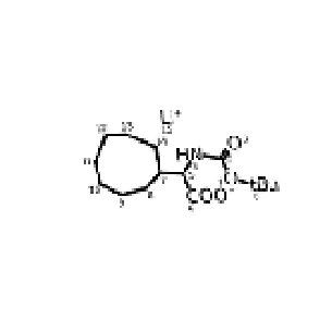 CC(C)(C)OC(=O)NC(C(=O)[O-])C1CCCCCCC1.[Li+]